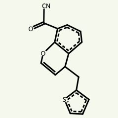 N#CC(=O)c1cccc2c1OC=CC2Cc1cccs1